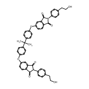 CC(C)(c1ccc(Oc2ccc3c(c2)C(=O)C(c2ccc(CCO)cc2)C3=O)cc1)c1ccc(Oc2ccc3c(c2)C(=O)N(c2ccc(CCO)cc2)C3=O)cc1